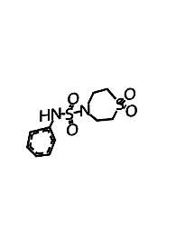 O=S1(=O)CCN(S(=O)(=O)Nc2ccccc2)CC1